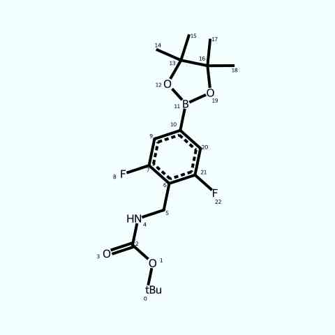 CC(C)(C)OC(=O)NCc1c(F)cc(B2OC(C)(C)C(C)(C)O2)cc1F